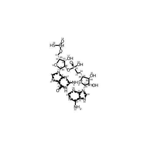 Nc1nc2c(ncn2[C@@H]2O[C@H](CO[PH](=O)S)[C@H](O)[C@@H]2OP(=O)(O)CC[C@H]2O[C@@H](n3cnc4c(N)ncnc43)[C@@H](O)[C@H]2O)c(=O)[nH]1